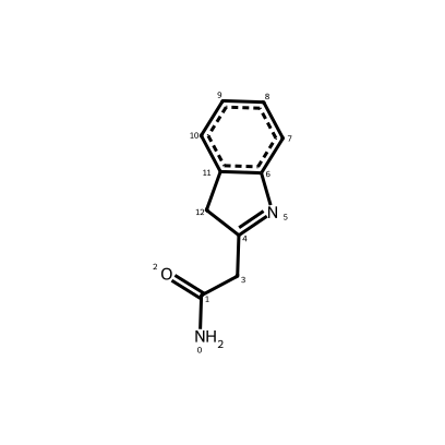 NC(=O)CC1=Nc2ccccc2C1